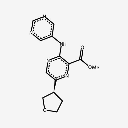 COC(=O)c1nc([C@H]2CCOC2)cnc1Nc1cncnc1